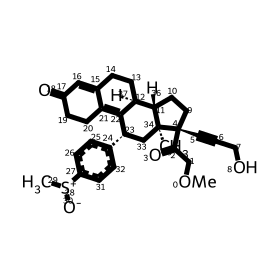 COCC(=O)[C@@]1(C#CCO)CC[C@H]2[C@@H]3CCC4=CC(=O)CCC4=C3[C@@H](c3ccc([S+](C)[O-])cc3)C[C@@]21C